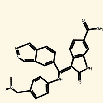 COC(=O)c1ccc2c(c1)NC(=O)/C2=C(\Nc1ccc(CN(C)C)cc1)c1ccc2cnncc2c1